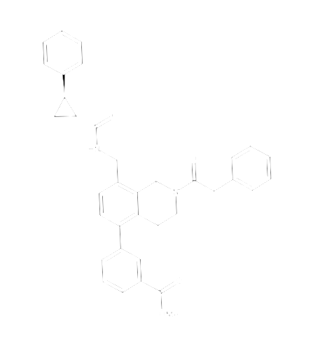 COC(=O)c1cccc(-c2ccc(CNC(=O)[C@@H]3C[C@H]3c3ccccc3)c3c2CCN(C(=O)Cc2ccccc2)C3)c1